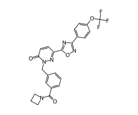 O=C(c1cccc(Cn2nc(-c3nc(-c4ccc(OC(F)(F)F)cc4)no3)ccc2=O)c1)N1CCC1